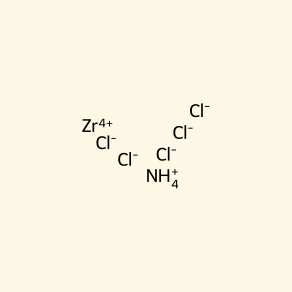 [Cl-].[Cl-].[Cl-].[Cl-].[Cl-].[NH4+].[Zr+4]